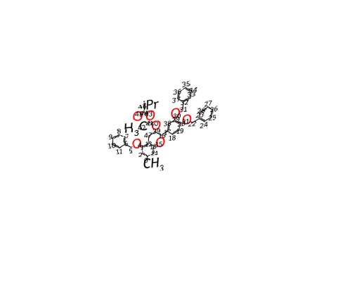 Cc1cc(OCc2ccccc2)c2c(c1)O[C@H](c1ccc(OCc3ccccc3)c(OCc3ccccc3)c1)[C@H](OC(C)OC(=O)C(C)C)C2